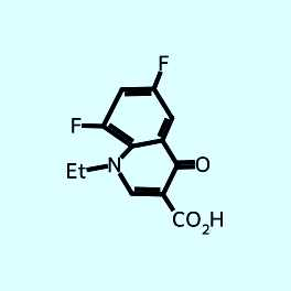 CCn1cc(C(=O)O)c(=O)c2cc(F)cc(F)c21